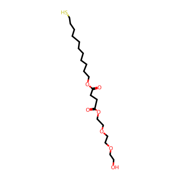 O=C(CCC(=O)OCCOCCOCCO)OCCCCCCCCCCCS